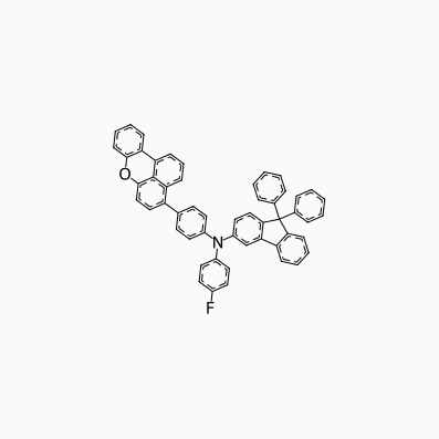 Fc1ccc(N(c2ccc(-c3ccc4c5c(cccc35)-c3ccccc3O4)cc2)c2ccc3c(c2)-c2ccccc2C3(c2ccccc2)c2ccccc2)cc1